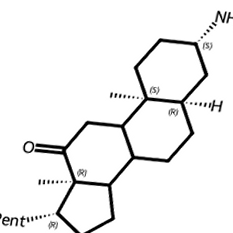 CCCC(C)[C@H]1CCC2C3CC[C@@H]4C[C@@H](N)CC[C@]4(C)C3CC(=O)[C@@]21C